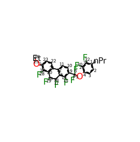 CCCc1ccc(OC(F)(F)c2ccc3c(c2F)C(F)C(F)c2c-3ccc(OCC)c2F)c(F)c1F